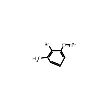 CCCOc1cccc(C)c1Br